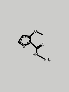 COc1ccsc1C(=O)NN